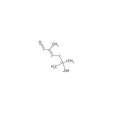 C/C(C=O)=C\CC(C)(C)O